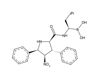 CC(C)C[C@H](NC(=O)[C@@H]1N[C@H](c2ccccc2)[C@H]([N+](=O)[O-])[C@H]1c1ccccc1)B(O)O